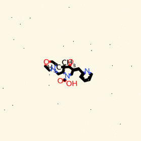 CC1(C)C(=O)C(=Cc2ccccn2)CN(C(=O)O)C1CN1CCOCC1